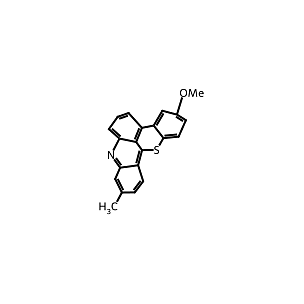 COc1ccc2c(c1)-c1cccc3nc4cc(C)ccc4c(c13)S2